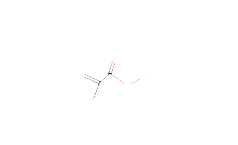 C=C(C)C(=O)OC=O.[LiH]